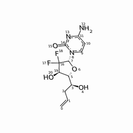 C=CC[C@H](O)[C@H]1O[C@@H](n2ccc(N)nc2=O)C(F)(F)[C@@H]1O